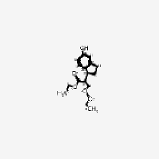 CCOOCC(C(=O)OCC)C1CCc2cc(O)ccc21